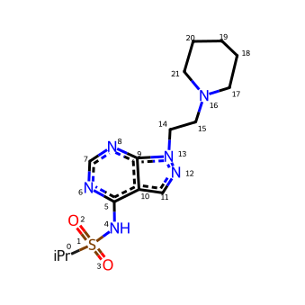 CC(C)S(=O)(=O)Nc1ncnc2c1cnn2CCN1CCCCC1